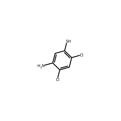 Nc1cc(S)c(Cl)cc1Cl